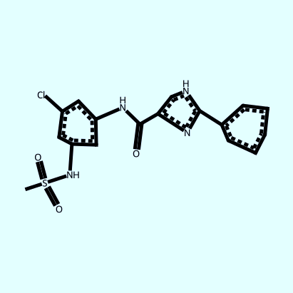 CS(=O)(=O)Nc1cc(Cl)cc(NC(=O)c2c[nH]c(-c3ccccc3)n2)c1